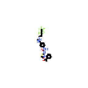 CC(C)c1ccccc1N1C(=O)CSC1=NC(=O)Nc1ccc(-c2ncn(CCC(F)(F)C(F)(F)C(F)(F)F)n2)cc1